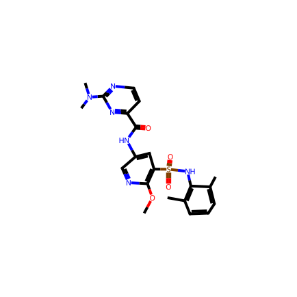 COc1ncc(NC(=O)c2ccnc(N(C)C)n2)cc1S(=O)(=O)Nc1c(C)cccc1C